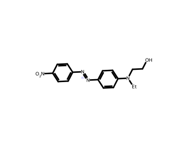 CCN(CCO)c1ccc(/N=N/c2ccc([N+](=O)[O-])cc2)cc1